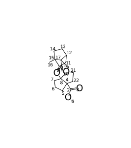 COC(=O)C12CCCC1(OC1CC3CCC1(C)C3(C)C)OCC2